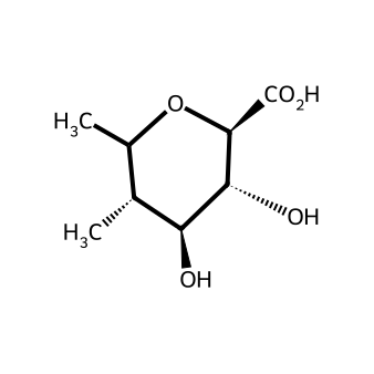 CC1O[C@@H](C(=O)O)[C@H](O)[C@@H](O)[C@@H]1C